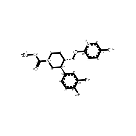 CC(C)(C)OC(=O)N1CC[C@H](COc2ccc(Cl)cn2)[C@@H](c2ccc(F)c(F)c2)C1